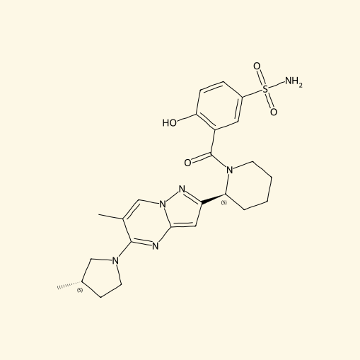 Cc1cn2nc([C@@H]3CCCCN3C(=O)c3cc(S(N)(=O)=O)ccc3O)cc2nc1N1CC[C@H](C)C1